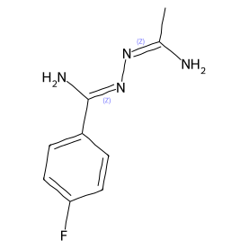 C/C(N)=N/N=C(\N)c1ccc(F)cc1